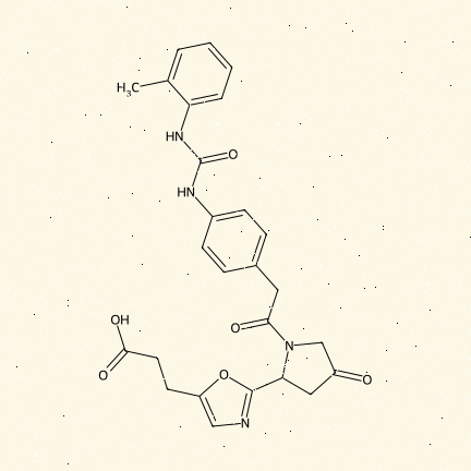 Cc1ccccc1NC(=O)Nc1ccc(CC(=O)N2CC(=O)CC2c2ncc(CCC(=O)O)o2)cc1